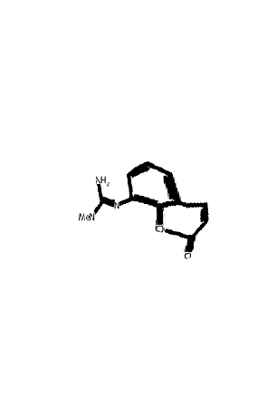 CNC(N)=Nc1cccc2ccc(=O)oc12